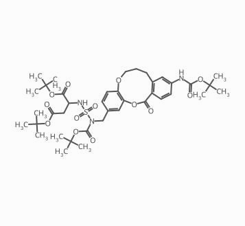 CC(C)(C)OC(=O)CC(NS(=O)(=O)N(Cc1ccc2c(c1)OC(=O)c1ccc(NC(=O)OC(C)(C)C)cc1CCCO2)C(=O)OC(C)(C)C)C(=O)OC(C)(C)C